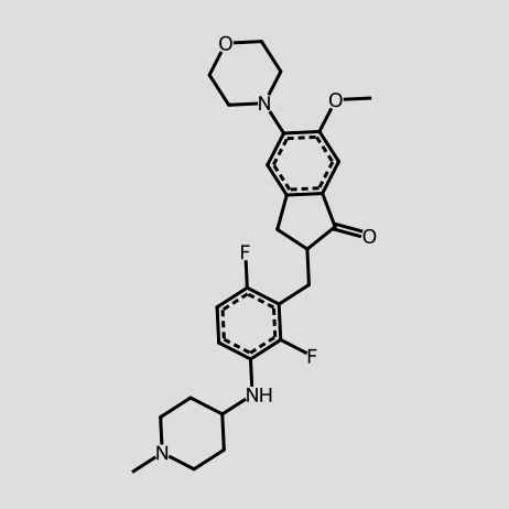 COc1cc2c(cc1N1CCOCC1)CC(Cc1c(F)ccc(NC3CCN(C)CC3)c1F)C2=O